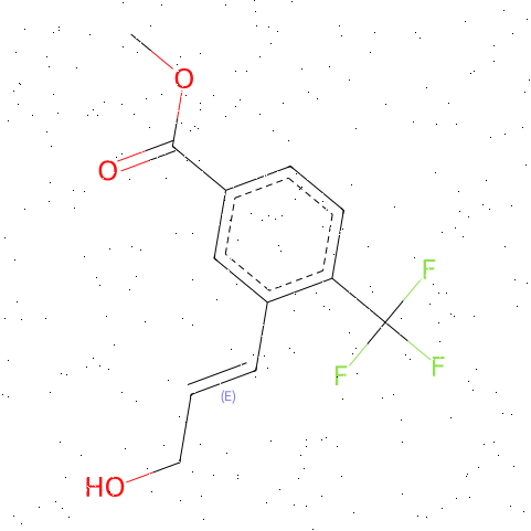 COC(=O)c1ccc(C(F)(F)F)c(/C=C/CO)c1